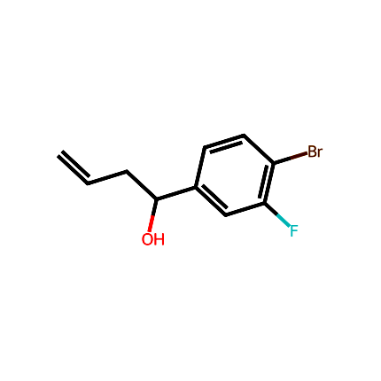 C=CCC(O)c1ccc(Br)c(F)c1